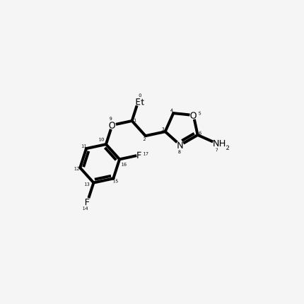 CCC(CC1COC(N)=N1)Oc1ccc(F)cc1F